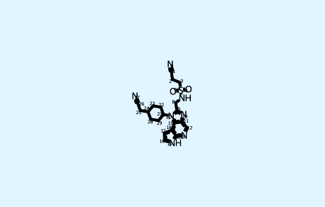 N#CCCS(=O)(=O)NCc1nc2cnc3[nH]ccc3c2n1C1CCC(CC#N)CC1